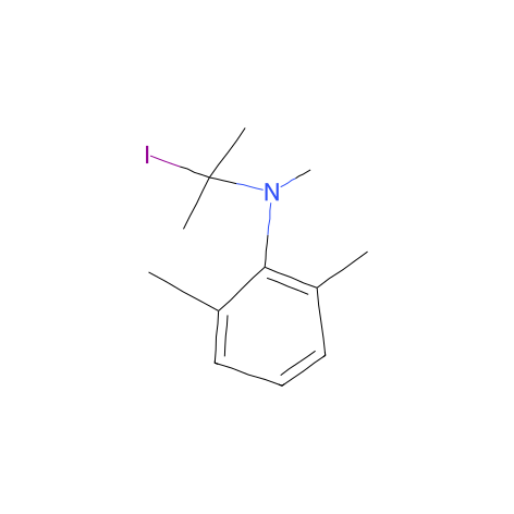 Cc1cccc(C)c1N(C)C(C)(C)I